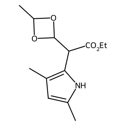 CCOC(=O)C(c1[nH]c(C)cc1C)C1OC(C)O1